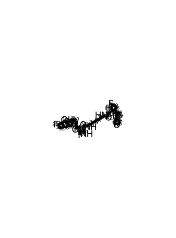 C[C@@H]1CN(CC(=O)N2CC(C)(C)c3nc(CO)c(Cc4ccc(F)cc4)cc32)[C@@H](C(=O)NCCCCCCCCNC(=O)COc2c(-c3csc(N4CCOCC4)n3)ccc(F)c2F)CN1